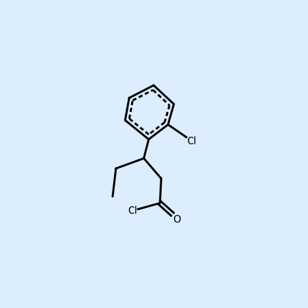 CCC(CC(=O)Cl)c1ccccc1Cl